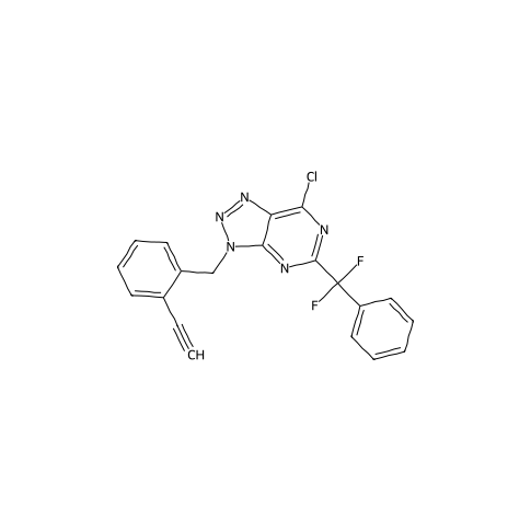 C#Cc1ccccc1Cn1nnc2c(Cl)nc(C(F)(F)c3ccccc3)nc21